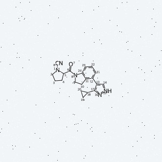 N#CN1CCCC1C(=O)N1CCc2c(-c3c[nH]nc3C3CC3)cccc21